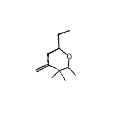 C=C1CC(CC)OC(C)C1(C)C